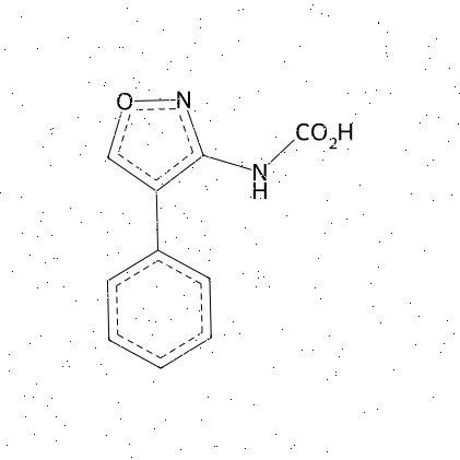 O=C(O)Nc1nocc1-c1ccccc1